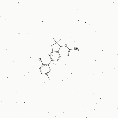 Cc1ccc(Cl)c(-c2ccc3c(c2)CC(C)(C)C3OC(N)=O)c1